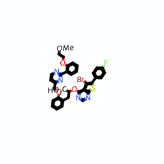 COCCOc1ccccc1-c1nccc(COc2ccccc2CC(Oc2ncnc3sc(-c4ccc(F)cc4)c(Br)c23)C(=O)O)n1